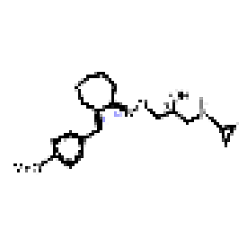 COc1ccc(/C=C2\CCCCC\C2=N/OC[C@@H](O)CNC2CC2)cc1